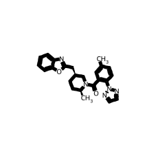 Cc1ccc(-n2nccn2)c(C(=O)N2C[C@H](Cc3nc4ccccc4o3)CC[C@@H]2C)c1